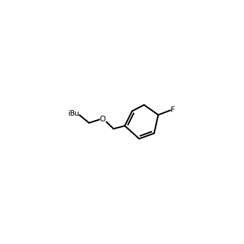 CCC(C)COCC1=CCC(F)C=C1